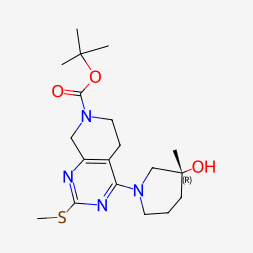 CSc1nc2c(c(N3CCC[C@@](C)(O)C3)n1)CCN(C(=O)OC(C)(C)C)C2